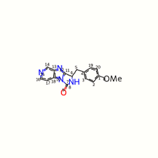 COc1ccc(CC2NC(=O)n3c2nc2cnccc23)cc1